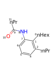 CCCCCCc1c(CCC)cccc1NC(=O)CCC